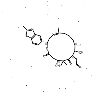 C=CC[C@H]1C(=O)C(C)(C)[C@@H](O)CC(=O)O[C@H](c2ccc3sc(C)nc3c2)C/C=C(/C)CCC[C@H](C)C1O